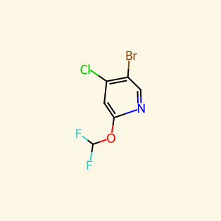 FC(F)Oc1cc(Cl)c(Br)cn1